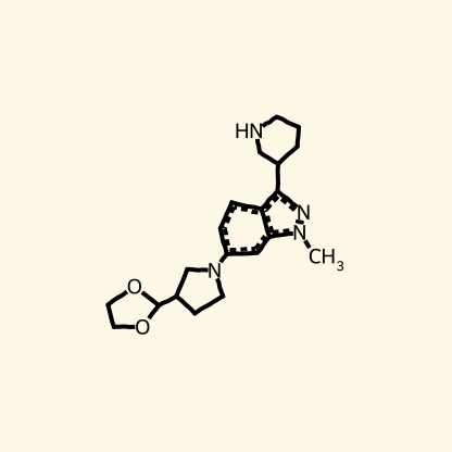 Cn1nc(C2CCCNC2)c2ccc(N3CCC(C4OCCO4)C3)cc21